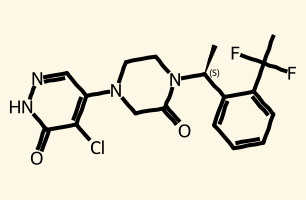 C[C@@H](c1ccccc1C(C)(F)F)N1CCN(c2cn[nH]c(=O)c2Cl)CC1=O